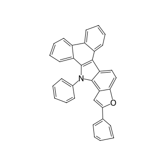 c1ccc(-c2cc3c(ccc4c5c6ccccc6c6ccccc6c5n(-c5ccccc5)c34)o2)cc1